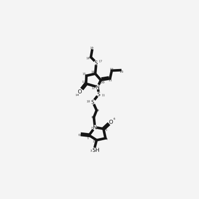 C=C1C(S)CC(=O)N1CCSSN1C(=O)CC(SCC)/C1=C\CC